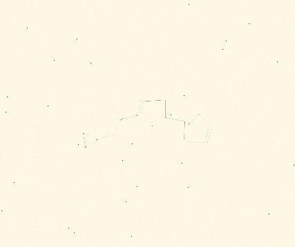 C=C(NC1CC1)C1=NCC(c2cccs2)=C1